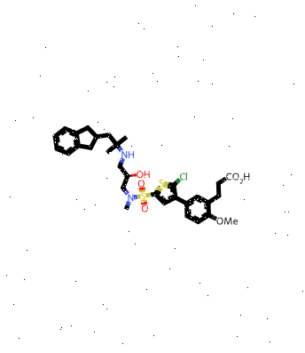 COc1ccc(-c2cc(S(=O)(=O)N(C)C[C@H](O)CNC(C)(C)CC3Cc4ccccc4C3)sc2Cl)cc1CCC(=O)O